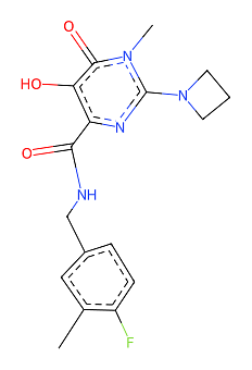 Cc1cc(CNC(=O)c2nc(N3CCC3)n(C)c(=O)c2O)ccc1F